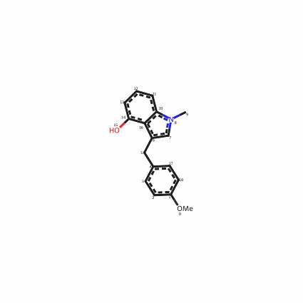 COc1ccc(Cc2cn(C)c3cccc(O)c23)cc1